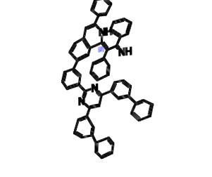 N=C(/C(=C1\NC(c2ccccc2)=Cc2ccc(-c3cccc(-c4nc(-c5cccc(-c6ccccc6)c5)cc(-c5cccc(-c6ccccc6)c5)n4)c3)cc21)c1ccccc1)c1ccccc1